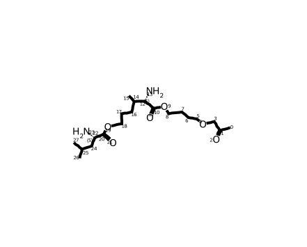 CC(=O)COCCCCOC(=O)[C@@H](N)C(C)CCCOC(=O)[C@@H](N)CC(C)C